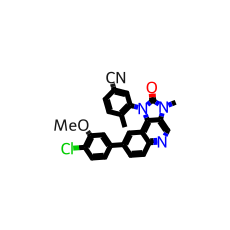 COc1cc(-c2ccc3ncc4c(c3c2)n(-c2cc(C#N)ccc2C)c(=O)n4C)ccc1Cl